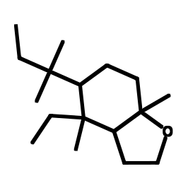 CCC(C)(C)C1CCC2(C)OCCC2C1(C)CC